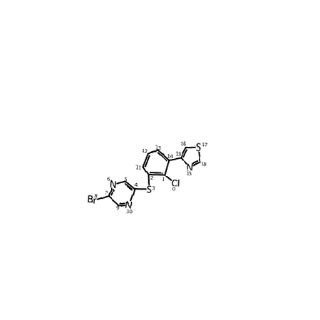 Clc1c(Sc2cnc(Br)cn2)cccc1-c1cscn1